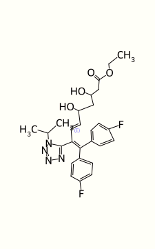 CCOC(=O)CC(O)CC(O)/C=C/C(=C(c1ccc(F)cc1)c1ccc(F)cc1)c1nnnn1C(C)C